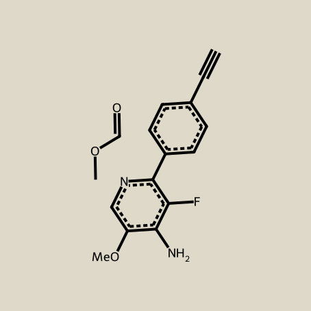 C#Cc1ccc(-c2ncc(OC)c(N)c2F)cc1.COC=O